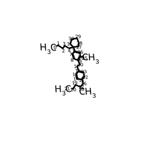 CCCCCC1(c2ccc(CCc3ccc(CC(C)CCC)cc3)c(C)c2)CCCCC1